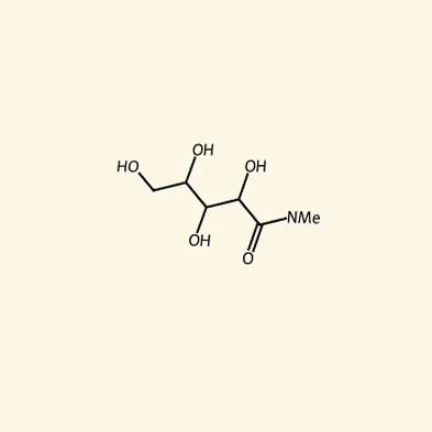 CNC(=O)C(O)C(O)C(O)CO